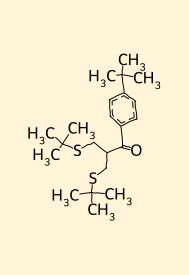 CC(C)(C)SCC(CSC(C)(C)C)C(=O)c1ccc(C(C)(C)C)cc1